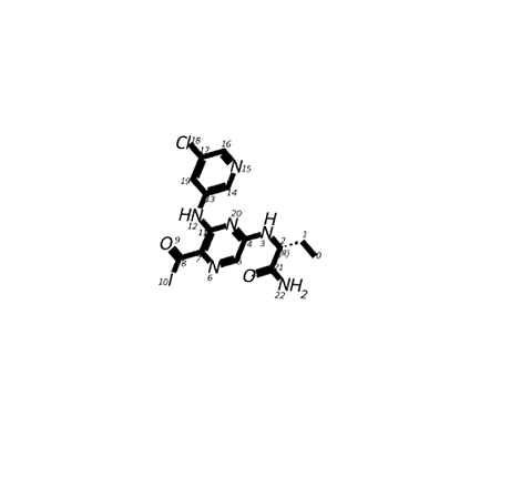 CC[C@@H](Nc1cnc(C(=O)I)c(Nc2cncc(Cl)c2)n1)C(N)=O